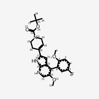 COc1ccc(F)cc1-c1c(OC)cnc2[nH]c(C3=CCN(C(=O)OC(C)(C)C)CC3)cc12